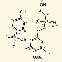 COc1c(I)cc(CC[N+](C)(C)CCO)cc1I.Cc1ccc(S(=O)(=O)[O-])cc1